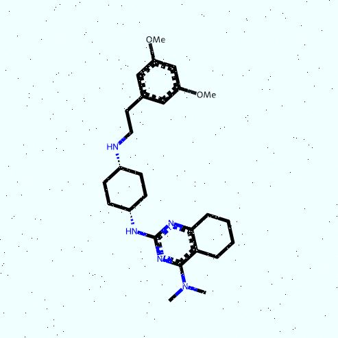 COc1cc(CCN[C@H]2CC[C@@H](Nc3nc4c(c(N(C)C)n3)CCCC4)CC2)cc(OC)c1